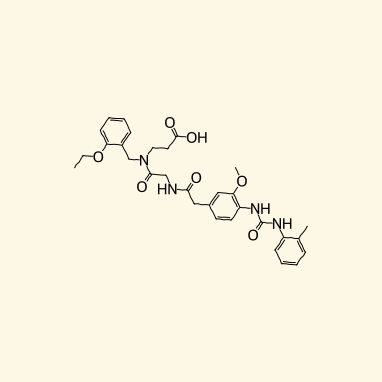 CCOc1ccccc1CN(CCC(=O)O)C(=O)CNC(=O)Cc1ccc(NC(=O)Nc2ccccc2C)c(OC)c1